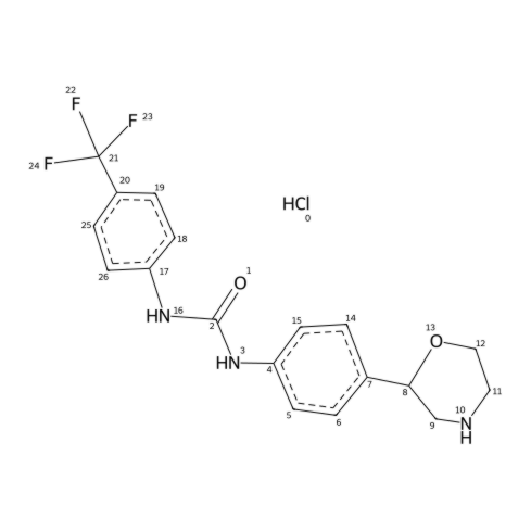 Cl.O=C(Nc1ccc(C2CNCCO2)cc1)Nc1ccc(C(F)(F)F)cc1